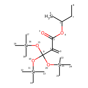 C=C(C(=O)OC([SiH3])CC)C(O[Si](C)(C)C)(O[Si](C)(C)C)O[Si](C)(C)C